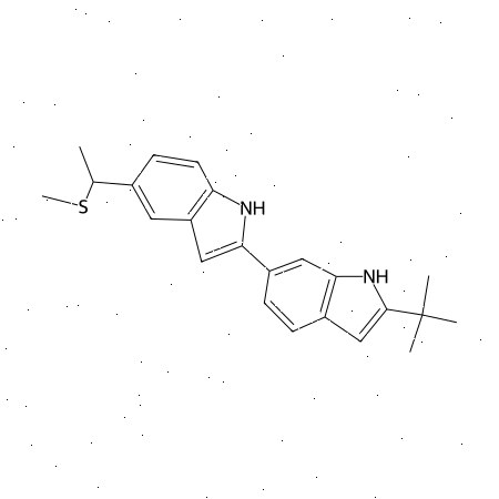 CSC(C)c1ccc2[nH]c(-c3ccc4cc(C(C)(C)C)[nH]c4c3)cc2c1